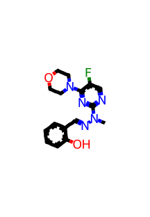 CN(/N=C/c1ccccc1O)c1ncc(F)c(N2CCOCC2)n1